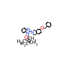 CC(OCn1c(N2CCc3ccc(OCc4ccccc4)cc3C2)nc2ccccc21)[Si](C)(C)C